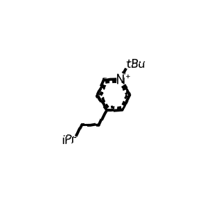 CC(C)CCc1cc[n+](C(C)(C)C)cc1